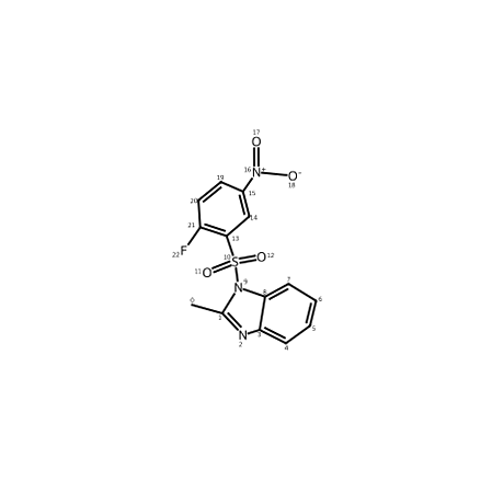 Cc1nc2ccccc2n1S(=O)(=O)c1cc([N+](=O)[O-])ccc1F